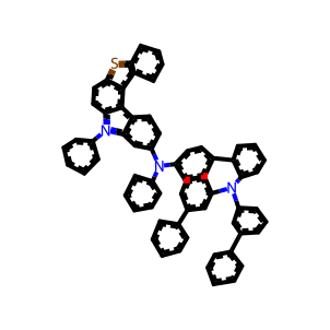 c1ccc(-c2cccc(N(c3cccc(-c4ccccc4)c3)c3ccccc3-c3ccc(N(c4ccccc4)c4ccc5c6c7c(ccc6n(-c6ccccc6)c5c4)sc4ccccc47)cc3)c2)cc1